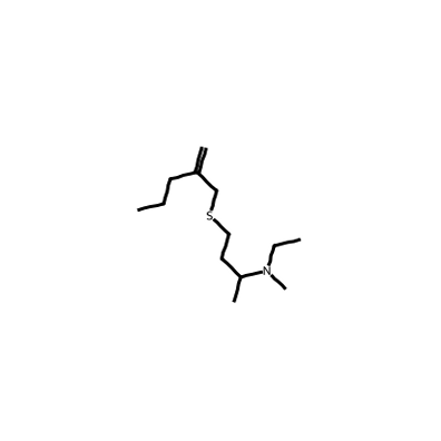 C=C(CCC)CSCCC(C)N(C)CC